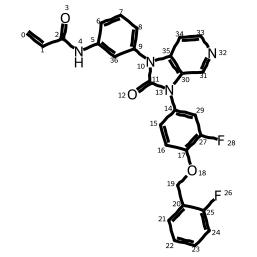 C=CC(=O)Nc1cccc(-n2c(=O)n(-c3ccc(OCc4ccccc4F)c(F)c3)c3cnccc32)c1